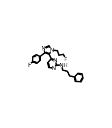 FCCCn1cnc(-c2ccc(F)cc2)c1-c1ccnc(NCCCc2ccccc2)n1